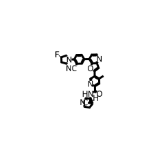 Cc1cc(C(=O)N[C@@H]2CN3CCC2CC3)ncc1-c1cc2nccc(-c3ccc(N4CC[C@H](F)C4)c(C#N)c3)c2o1